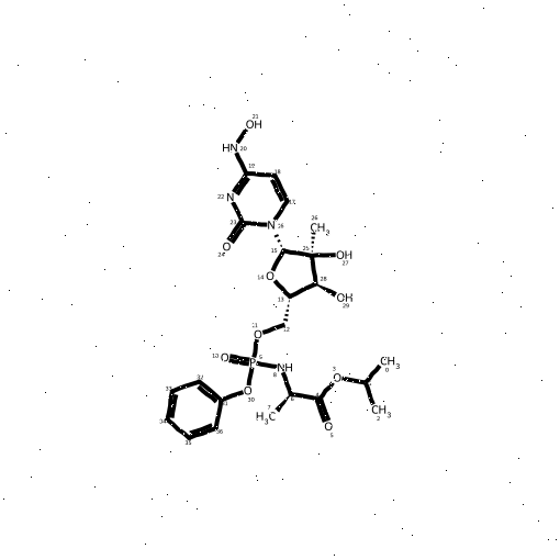 CC(C)OC(=O)[C@@H](C)NP(=O)(OC[C@@H]1O[C@H](n2ccc(NO)nc2=O)[C@@](C)(O)[C@H]1O)Oc1ccccc1